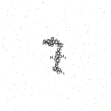 CC(=O)c1nccc(COc2ccc(C(C)(C)c3ccc(OCC4CCCN(c5ccc6c(c5)C(=O)N(C5CCC(=O)NC5=O)C6=O)C4)cc3)cc2)n1